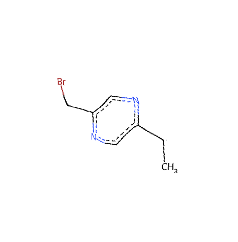 C[CH]c1cnc(CBr)cn1